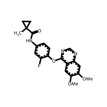 COc1cc2ncnc(Oc3ccc(NC(=O)C4(C)CC4)cc3F)c2cc1OC